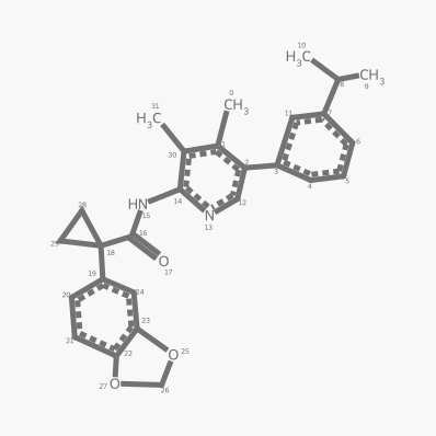 Cc1c(-c2cccc(C(C)C)c2)cnc(NC(=O)C2(c3ccc4c(c3)OCO4)CC2)c1C